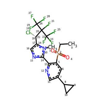 CCS(=O)(=O)c1cc(C2CC2)cnc1-c1ncc([C@H](Cl)C(F)(C(F)(F)F)C(F)(F)F)n1C